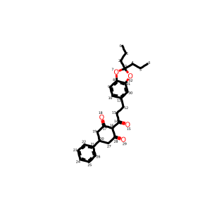 CCCC1(CCC)Oc2ccc(CCC(=O)C3C(=O)CC(c4ccccc4)CC3=O)cc2O1